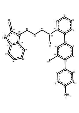 Nc1ncc(-c2ccc(-c3ccccc3[S+]([O-])CCCn3c(=O)[nH]c4ccccc43)cc2F)cn1